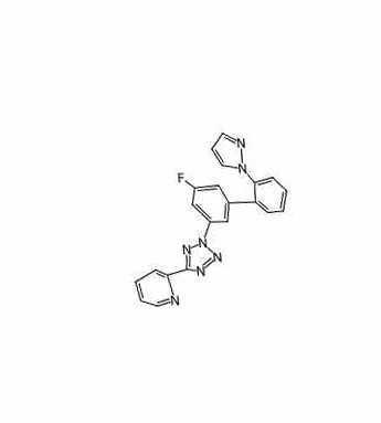 Fc1cc(-c2ccccc2-n2cccn2)cc(-n2nnc(-c3ccccn3)n2)c1